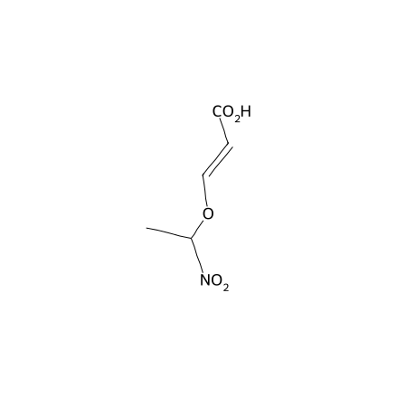 CC(OC=CC(=O)O)[N+](=O)[O-]